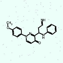 COc1ccc(-n2ccc(=O)c(C(CC=N)Nc3ccccc3)n2)cc1